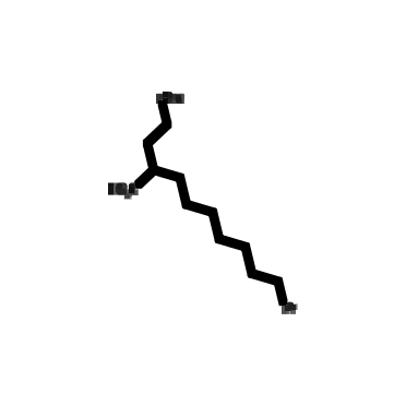 CCCCCCCCCCCCC(CCCCCCCC(C)C)C(=O)O